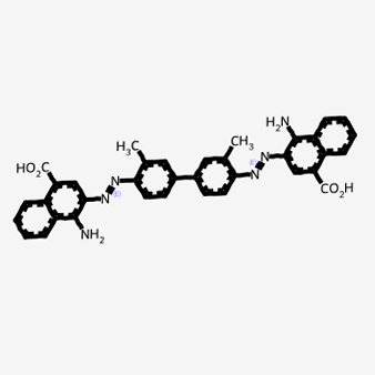 Cc1cc(-c2ccc(/N=N/c3cc(C(=O)O)c4ccccc4c3N)c(C)c2)ccc1/N=N/c1cc(C(=O)O)c2ccccc2c1N